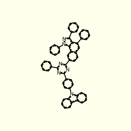 c1ccc(-c2nc(-c3ccc(-n4c5ccccc5c5ccccc54)cc3)nc(-c3ccc4cc(-c5ccccc5)c5c(-c6ccccc6)nn(-c6ccccc6)c5c4c3)n2)cc1